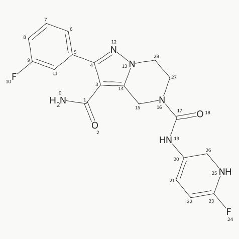 NC(=O)c1c(-c2cccc(F)c2)nn2c1CN(C(=O)NC1=CC=C(F)NC1)CC2